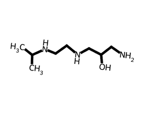 CC(C)NCCNCC(O)CN